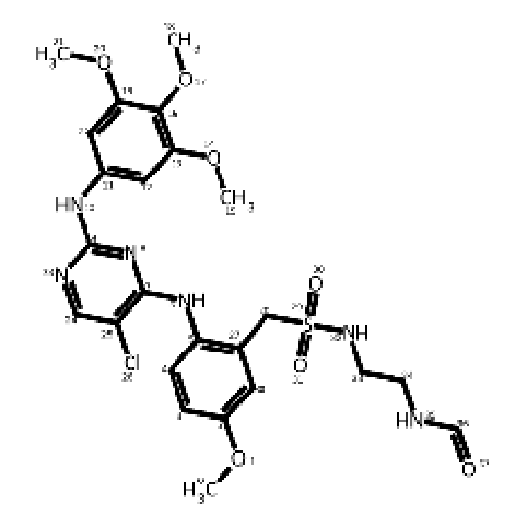 COc1ccc(Nc2nc(Nc3cc(OC)c(OC)c(OC)c3)ncc2Cl)c(CS(=O)(=O)NCCNC=O)c1